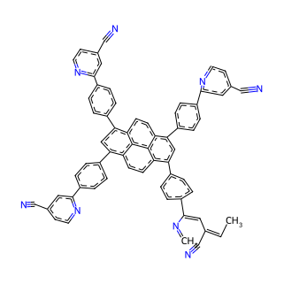 C=N/C(=C\C(C#N)=C/C)c1ccc(-c2cc(-c3ccc(-c4cc(C#N)ccn4)cc3)c3ccc4c(-c5ccc(-c6cc(C#N)ccn6)cc5)cc(-c5ccc(-c6cc(C#N)ccn6)cc5)c5ccc2c3c54)cc1